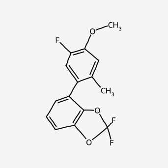 COc1cc(C)c(-c2cccc3c2OC(F)(F)O3)cc1F